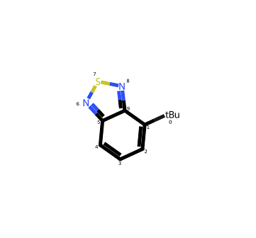 CC(C)(C)c1cccc2nsnc12